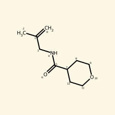 C=C(C)CNC(=O)C1CCOCC1